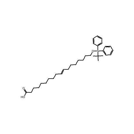 CC(C)(C)[Si](OCCCCCCCC=CCCCCCCCCC(=O)O)(c1ccccc1)c1ccccc1